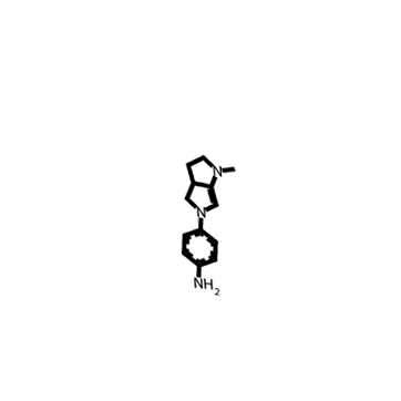 CN1CCC2CN(c3ccc(N)cc3)C=C21